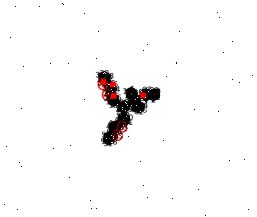 c1ccc2cc(-c3c4ccccc4c(-c4cc(-c5ccc6oc7c(ccc8c9ccccc9oc87)c6c5)cc(-c5ccc6oc7c(ccc8c9ccccc9oc87)c6c5)c4)c4ccccc34)ccc2c1